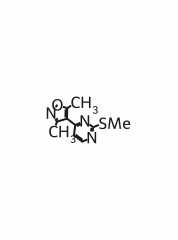 CSc1nccc(-c2c(C)noc2C)n1